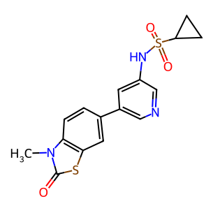 Cn1c(=O)sc2cc(-c3cncc(NS(=O)(=O)C4CC4)c3)ccc21